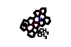 CC1(C)c2cc(N(c3ccccc3-c3ccccc3)c3ccccc3-c3cc4ccccc4cc3-c3ccccc3)ccc2-c2c(-c3ccccc3)cccc21